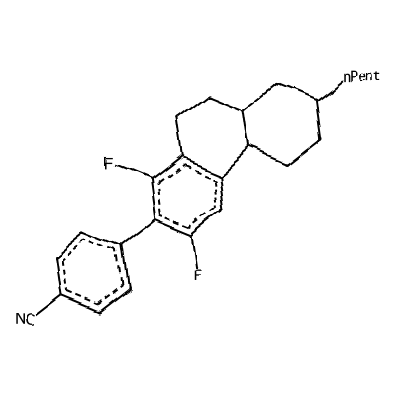 CCCCCC1CCC2c3cc(F)c(-c4ccc(C#N)cc4)c(F)c3CCC2C1